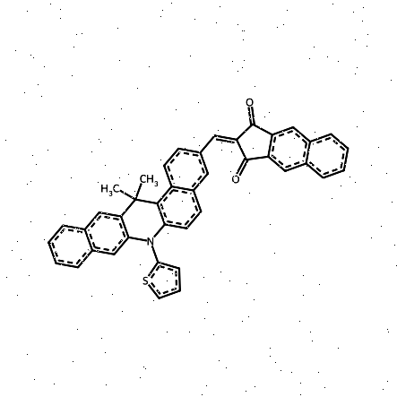 CC1(C)c2cc3ccccc3cc2N(c2cccs2)c2ccc3cc(C=C4C(=O)c5cc6ccccc6cc5C4=O)ccc3c21